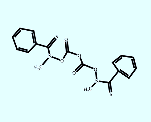 CN(OC(=O)OC(=O)ON(C)C(=S)c1ccccc1)C(=S)c1ccccc1